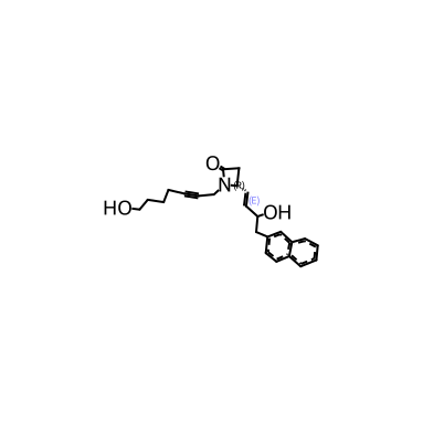 O=C1C[C@H](/C=C/C(O)Cc2ccc3ccccc3c2)N1CC#CCCCCO